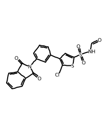 O=CNS(=O)(=O)c1cc(-c2cccc(N3C(=O)c4ccccc4C3=O)c2)c(Cl)s1